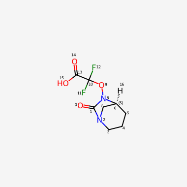 O=C1N2CCC[C@@H](C2)N1OC(F)(F)C(=O)O